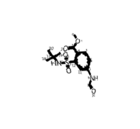 COC(=O)c1ccc(NC=O)cc1S(=O)(=O)NC(C)(C)C